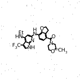 CCNc1cc(Nc2ccc(C(=O)N3CCO[C@@H](C)C3)c3c2OCC3)nc2[nH]cc(C(F)(F)F)c12